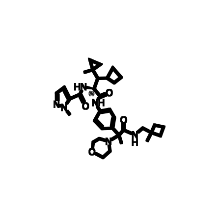 Cn1nccc1C(=O)N[C@H](C(=O)Nc1ccc(C(C)(C(=O)NCC2(C)CCC2)N2CCOCC2)cc1)C(C1CCC1)C1(C)CC1